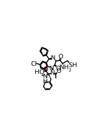 CN[C@](CC1=CC=CCC1)(C(=O)O)N(C(C)=O)N1C(=O)C(C(=O)C(N)CS)N=C(c2ccccc2)c2cc(Cl)ccc21